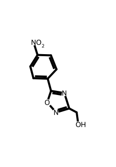 O=[N+]([O-])c1ccc(-c2nc(CO)no2)cc1